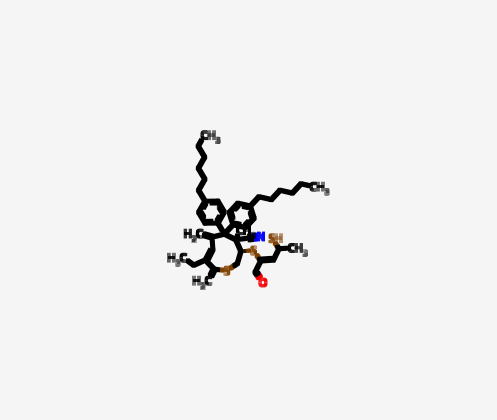 C=C1SC[C@H](S/C(C=O)=C\C(C)S)C(C)(C#N)C(c2ccc(CCCCCC)cc2)(c2ccc(CCCCCC)cc2)C(=C)/C=C/1CC